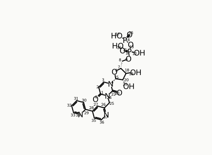 O=c1ccn([C@@H]2O[C@H](COP(=O)(O)OP(=O)(O)O)C(O)[C@@H]2O)c(=O)n1Cc1cc(-c2ccccn2)ccn1